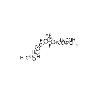 CCOC(=O)[C@H]1[C@@H]2Cc3cc(OCc4cc(-c5ccc(N6Cc7cn(CC(C)(C)O)nc7C6)cc5F)c(C(F)(F)F)cc4F)ncc3[C@@H]21